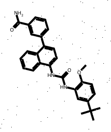 COc1ccc(C(C)(C)C)cc1NC(=O)Nc1ccc(-c2cccc(C(N)=O)c2)c2ccccc12